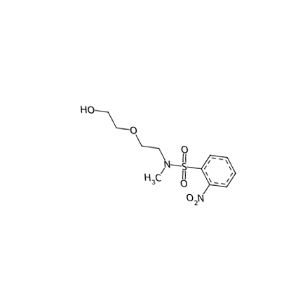 CN(CCOCCO)S(=O)(=O)c1ccccc1[N+](=O)[O-]